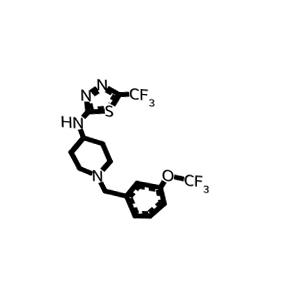 FC(F)(F)Oc1cccc(CN2CCC(Nc3nnc(C(F)(F)F)s3)CC2)c1